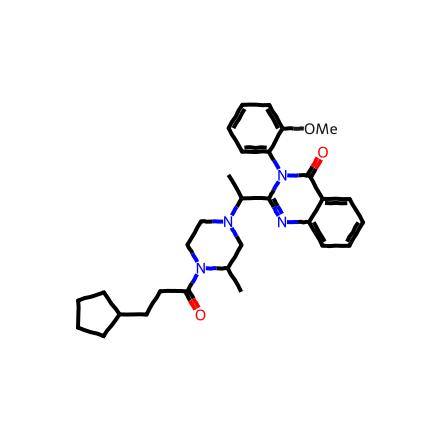 COc1ccccc1-n1c(C(C)N2CCN(C(=O)CCC3CCCC3)C(C)C2)nc2ccccc2c1=O